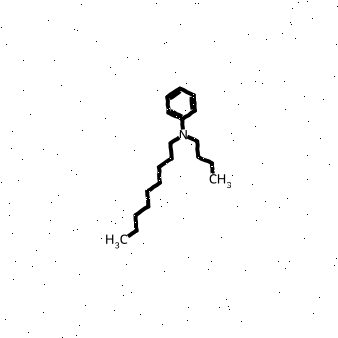 CCCCCCCCCN(CCCC)c1ccccc1